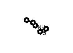 c1ccc(-c2ccc3cc(Nc4cccc5sc6ccccc6c45)ccc3c2)cc1